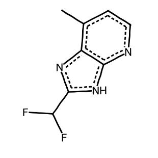 Cc1ccnc2[nH]c(C(F)F)nc12